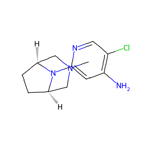 CN1C[C@H]2CC[C@@H](C1)N2c1cc(N)c(Cl)cn1